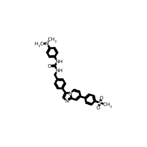 CN(C)c1ccc(NC(=O)NCc2ccc(-c3cnc4cc(-c5ccc(S(C)(=O)=O)cc5)ccn34)cc2)cc1